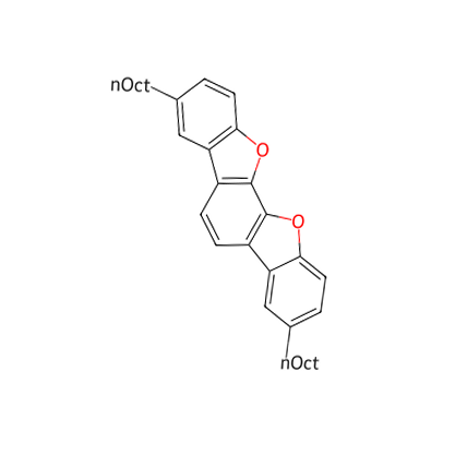 CCCCCCCCc1ccc2oc3c(ccc4c5cc(CCCCCCCC)ccc5oc43)c2c1